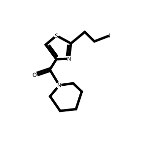 O=C(c1csc(CCI)n1)N1CCCCC1